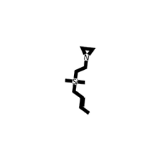 CC=CC[Si](C)(C)CCN1CC1